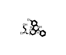 CCc1ccc2c(c1)[C@H]1O[C@@H](CN(CC)CCO)CC[C@H]1[C@H](c1ccccc1)N2